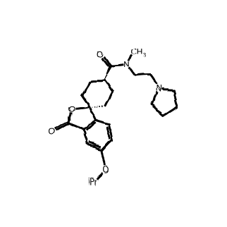 CC(C)Oc1ccc2c(c1)C(=O)O[C@]21CC[C@H](C(=O)N(C)CCN2CCCC2)CC1